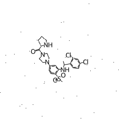 CC(Nc1cc(N2CCN(C(=O)C3CCCN3)CC2)ccc1S(C)(=O)=O)c1ccc(Cl)cc1Cl